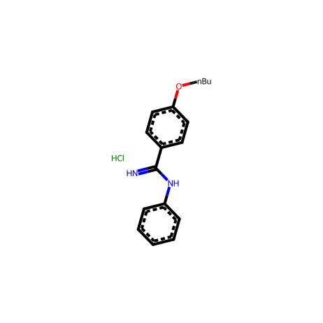 CCCCOc1ccc(C(=N)Nc2ccccc2)cc1.Cl